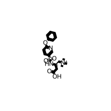 C[N+](C)(C)C[C@@H](CC(=O)O)NS(=O)(=O)c1ccc(Oc2ccccc2)nc1